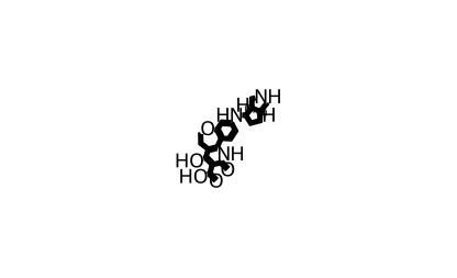 O=C(O)c1c(O)c2c([nH]c1=O)-c1ccc(NC3CC[C@@H]4CNC[C@H]34)cc1OCC2